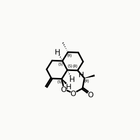 C=C1CC[C@@H]2[C@H]3[C@@H](CC[C@H]2C)[C@@H](C)C(=O)OO[C@H]13